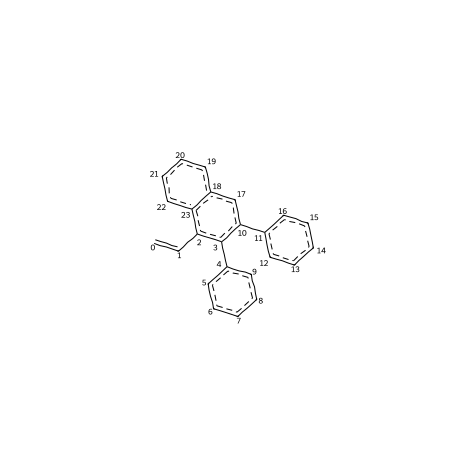 C=Cc1c(-c2ccccc2)c(-c2ccccc2)cc2ccccc12